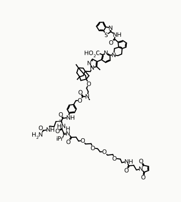 Cc1c(-c2ccc(N3CCc4cccc(C(=O)Nc5nc6ccccc6s5)c4C3)nc2C(=O)O)cnn1CC12CC3(C)CC(C)(C1)CC(OCCN(C)C(=O)OCc1ccc(NC(=O)[C@H](CCCNC(N)=O)NC(=O)[C@@H](NC(=O)CCOCCOCCOCCOCCNC(=O)CCN4C(=O)C=CC4=O)C(C)C)cc1)(C3)C2